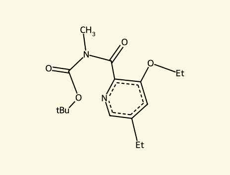 CCOc1cc(CC)cnc1C(=O)N(C)C(=O)OC(C)(C)C